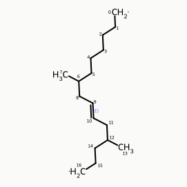 [CH2]CCCCCC(C)C/C=C/CC(C)CC[CH2]